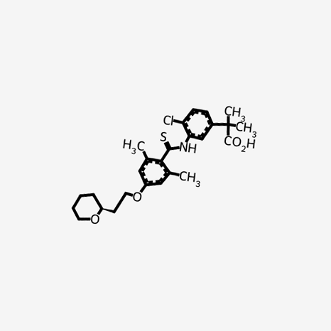 Cc1cc(OCC[C@@H]2CCCCO2)cc(C)c1C(=S)Nc1cc(C(C)(C)C(=O)O)ccc1Cl